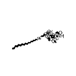 CCCCCCCCCCCCCCCCCCSSCCOP(=O)(O)OCC1OC(n2ccc(=O)[nH]c2=O)[C@H](OC(C)=O)[C@@H]1OC(C)=O